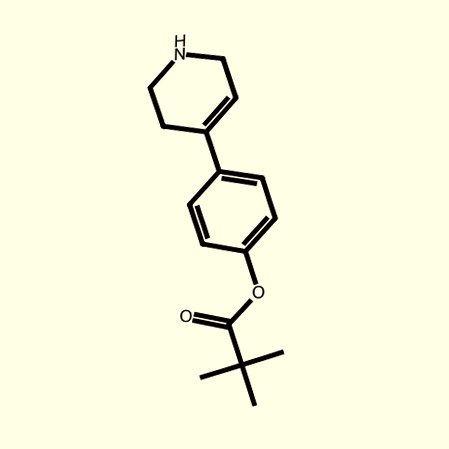 CC(C)(C)C(=O)Oc1ccc(C2=CCNCC2)cc1